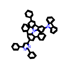 c1ccc(-c2ccc3c(c2)c2cc(-n4c5ccccc5c5ccccc54)ccc2n3-c2c(-c3ccccc3)cc(-c3cc(-c4ccccc4)nc(-c4ccccc4)n3)cc2-c2ccccc2)cc1